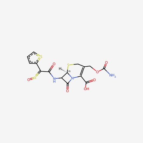 NC(=O)OCC1=C(C(=O)O)N2C(=O)C(NC(=O)C(=S=O)c3cccs3)[C@H]2SC1